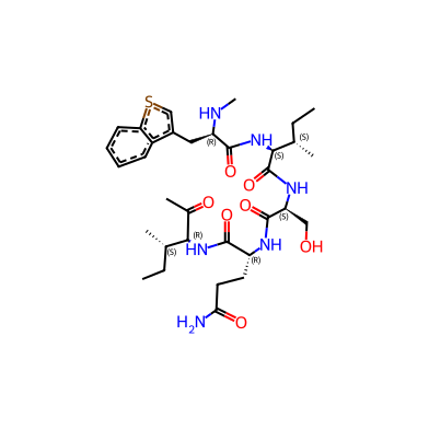 CC[C@H](C)[C@H](NC(=O)[C@@H](Cc1csc2ccccc12)NC)C(=O)N[C@@H](CO)C(=O)N[C@H](CCC(N)=O)C(=O)N[C@@H](C(C)=O)[C@@H](C)CC